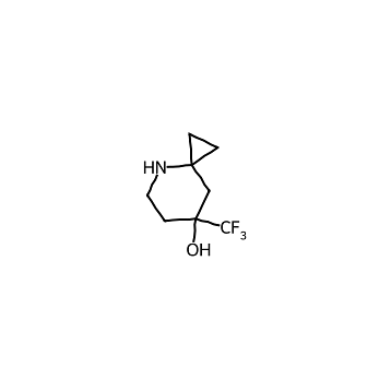 OC1(C(F)(F)F)CCNC2(CC2)C1